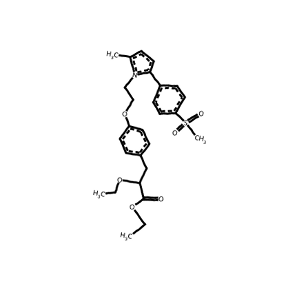 CCOC(=O)C(Cc1ccc(OCCn2c(C)ccc2-c2ccc(S(C)(=O)=O)cc2)cc1)OCC